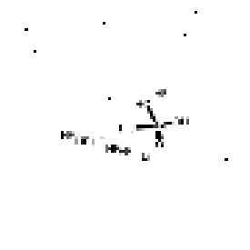 F.F.F.F.F.F.O=P(O)(O)O.[LiH]